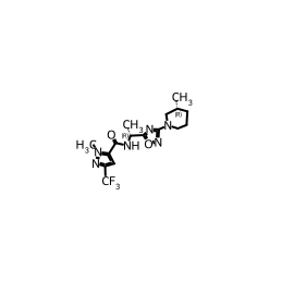 C[C@@H]1CCCN(c2noc([C@@H](C)NC(=O)c3cc(C(F)(F)F)nn3C)n2)C1